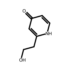 O=c1cc[nH]c(CCO)c1